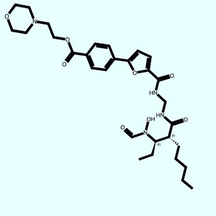 CCCCC[C@@H](C(=O)NCNC(=O)c1ccc(-c2ccc(C(=O)OCCN3CCOCC3)cc2)o1)[C@@H](CC)N(O)C=O